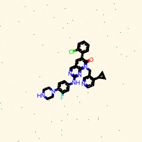 O=c1c(-c2ccccc2Cl)cc2cnc(Nc3ccc(N4CCNCC4)c(F)c3)nc2n1Cc1cnccc1C1CC1